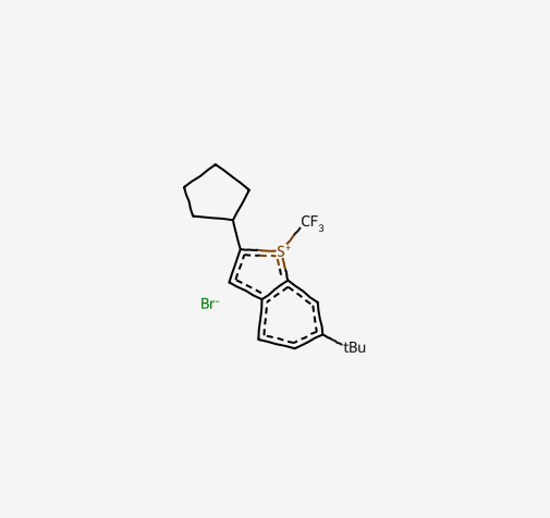 CC(C)(C)c1ccc2cc(C3CCCC3)[s+](C(F)(F)F)c2c1.[Br-]